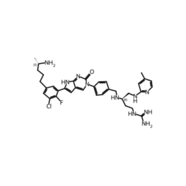 Cc1ccnc(NC[C@@H](CCNC(=N)N)NCc2ccc(-n3cc4cc(-c5cc(CCC[C@H](C)N)cc(Cl)c5F)[nH]c4nc3=O)cc2)c1